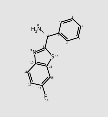 N[C@H](c1ccccc1)c1nc2ccc(F)cc2s1